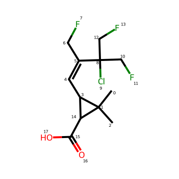 CC1(C)C(C=C(CF)C(Cl)(CF)CF)C1C(=O)O